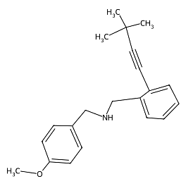 COc1ccc(CNCc2ccccc2C#CC(C)(C)C)cc1